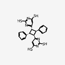 Sc1cc([C@H]2[C@H](c3ccccc3)[C@H](c3cc(S)nc(S)n3)[C@H]2c2ccccc2)nc(S)n1